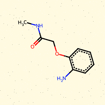 CNC(=O)COc1ccccc1N